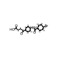 O=C(O)CCC(=O)c1ccc(NC(=O)c2ccc(Br)cc2)cc1